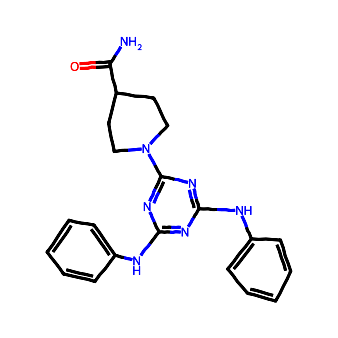 NC(=O)C1CCN(c2nc(Nc3ccccc3)nc(Nc3ccccc3)n2)CC1